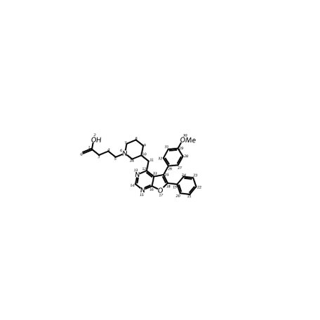 C=C(O)CCCN1CCCC(Cc2ncnc3oc(-c4ccccc4)c(-c4ccc(OC)cc4)c23)C1